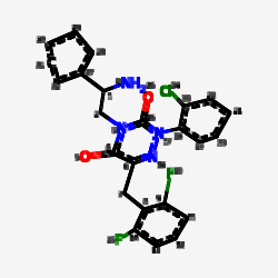 NC(Cn1c(=O)c(Cc2c(F)cccc2F)nn(-c2ccccc2Cl)c1=O)c1ccccc1